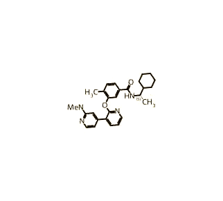 CNc1cc(-c2cccnc2Oc2cc(C(=O)N[C@@H](C)C3CCCCC3)ccc2C)ccn1